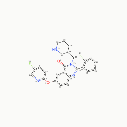 O=c1c2cc(Oc3ccc(F)cn3)ccc2nc(-c2ccccc2F)n1CC1CCCNC1